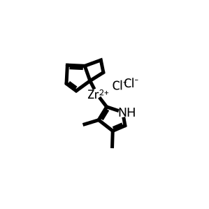 Cc1c[nH][c]([Zr+2][C]23C=CC=C2CC3)c1C.[Cl-].[Cl-]